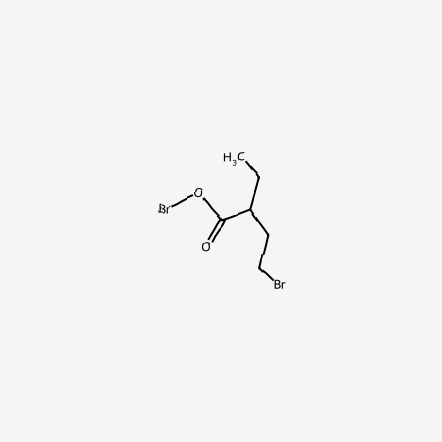 CCC(CCBr)C(=O)OBr